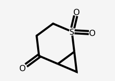 O=C1CCS(=O)(=O)C2CC12